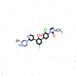 CC(C)[C@@H]1CN(c2cc(-c3cc(F)cc(-c4ccc(-n5ccn(C)c5=O)c(Cl)c4)c3O)ccn2)CCN1